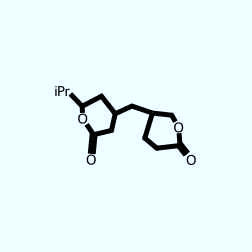 CC(C)C1CC(CC2CCC(=O)OC2)CC(=O)O1